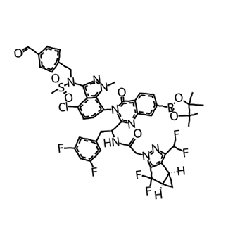 Cn1nc(N(Cc2ccc(C=O)cc2)S(C)(=O)=O)c2c(Cl)ccc(-n3c([C@H](Cc4cc(F)cc(F)c4)NC(=O)Cn4nc(C(F)F)c5c4C(F)(F)[C@@H]4C[C@H]54)nc4cc(B5OC(C)(C)C(C)(C)O5)ccc4c3=O)c21